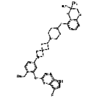 CC1(C)COc2nccc(CN3CCN(C4CC5(C4)CN(c4ccc(C=O)c(Oc6cnc7[nH]cc(F)c7c6)c4)C5)CC3)c2O1